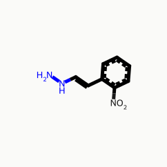 NNC=Cc1ccccc1[N+](=O)[O-]